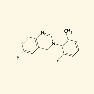 Cc1cccc(F)c1N1C=Nc2ccc(F)cc2C1